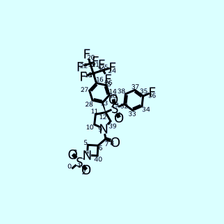 CS(=O)(=O)N1CC(C(=O)N2CC[C@](c3ccc(C(F)(C(F)(F)F)C(F)(F)F)cc3)(S(=O)(=O)c3ccc(F)cc3)C2)C1